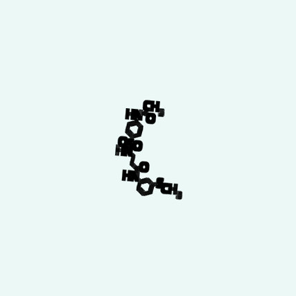 CSc1cccc(NC(=O)CCNS(=O)(=O)c2ccc(NC(C)=O)cc2)c1